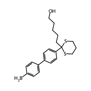 Bc1ccc(-c2ccc(C3(CCCCCO)SCCCS3)cc2)cc1